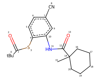 CC(C)(C)C(=O)Sc1ccc(C#N)cc1NC(=O)C1(C)CCCCC1